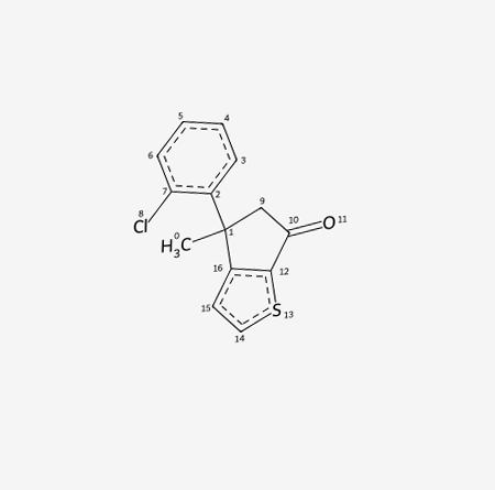 CC1(c2ccccc2Cl)CC(=O)c2sccc21